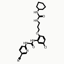 N#Cc1ccc(NC(=O)Nc2cc(Cl)ccc2OCCCNC(=O)NC2CCCCC2)nc1